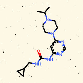 CC(C)N1CCN(c2cc(NC(=O)NCC3CC3)ncn2)CC1